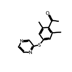 CC(=O)c1c(C)cc(Sc2cnccn2)cc1C